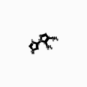 Nc1cnn(-c2c[nH]cn2)c1N